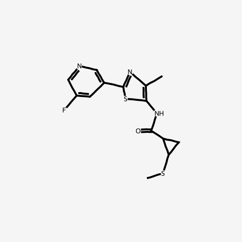 CSC1CC1C(=O)Nc1sc(-c2cncc(F)c2)nc1C